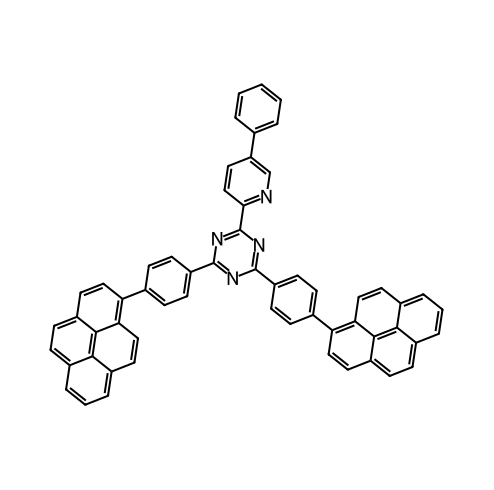 c1ccc(-c2ccc(-c3nc(-c4ccc(-c5ccc6ccc7cccc8ccc5c6c78)cc4)nc(-c4ccc(-c5ccc6ccc7cccc8ccc5c6c78)cc4)n3)nc2)cc1